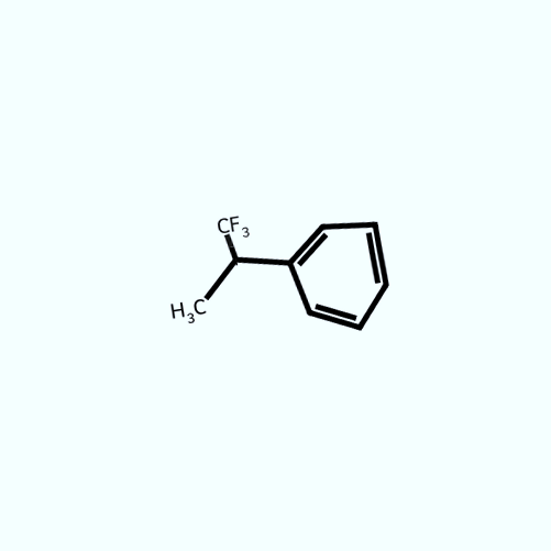 C[C](c1ccccc1)C(F)(F)F